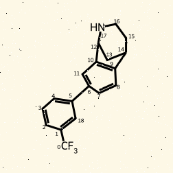 FC(F)(F)c1cccc(-c2ccc3c(c2)C2CC3CCN2)c1